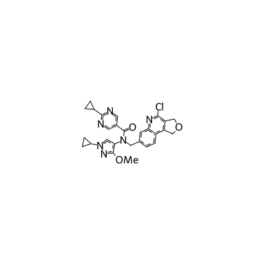 COc1nn(C2CC2)cc1N(Cc1ccc2c3c(c(Cl)nc2c1)COC3)C(=O)c1cnc(C2CC2)nc1